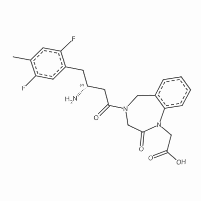 Cc1cc(F)c(C[C@@H](N)CC(=O)N2CC(=O)N(CC(=O)O)c3ccccc3C2)cc1F